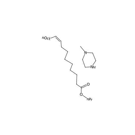 CCCCCCCC/C=C\CCCCCCCC(=O)OCCC.CN1CCNCC1